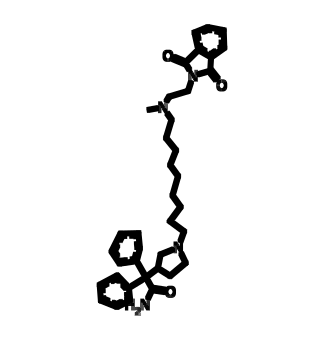 CN(CCCCCCCCCN1CCC(C(C(N)=O)(c2ccccc2)c2ccccc2)C1)CCN1C(=O)c2ccccc2C1=O